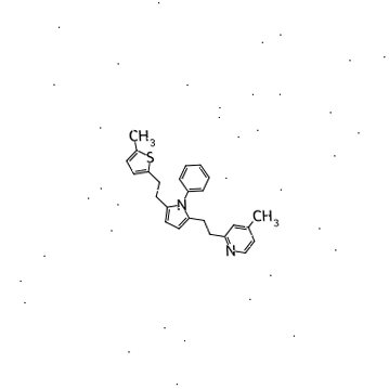 Cc1ccnc(CCc2ccc(CCc3ccc(C)s3)n2-c2ccccc2)c1